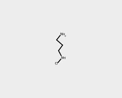 NCCCNCl